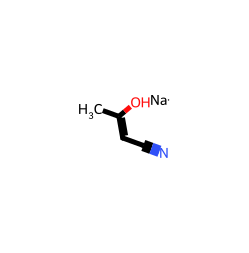 CC(O)=CC#N.[Na]